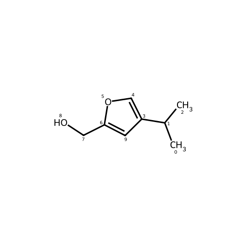 CC(C)c1coc(CO)c1